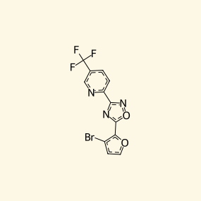 FC(F)(F)c1ccc(-c2noc(-c3occc3Br)n2)nc1